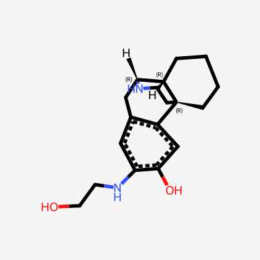 OCCNc1cc2c(cc1O)[C@@]13CCCC[C@H]1[C@@H](C2)NCC3